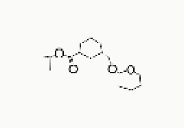 CC(C)OC(=O)C1CCC[C@H](COC2CCCCO2)C1